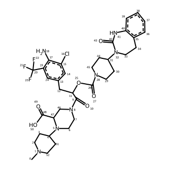 CN1CCC(N2CCN(C(=O)C(Cc3cc(Cl)c(N)c(C(F)(F)F)c3)OC(=O)N3CCC(N4CCc5ccccc5NC4=O)CC3)CC2C(=O)O)CC1